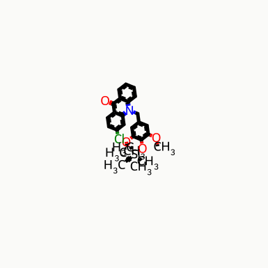 COc1cc(Cn2c3ccccc3c(=O)c3ccc(Cl)cc32)cc(OC)c1O[Si](C)(C)C(C)(C)C